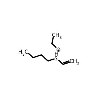 C=C[SiH](CCCC)OCC